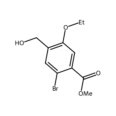 CCOc1cc(C(=O)OC)c(Br)cc1CO